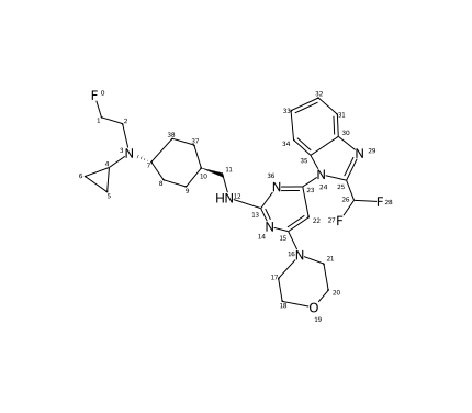 FCCN(C1CC1)[C@H]1CC[C@H](CNc2nc(N3CCOCC3)cc(-n3c(C(F)F)nc4ccccc43)n2)CC1